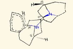 c1ccc(NC2CC3CCC[C@@H](C2)N3[C@@H]2C[C@@H]3CCC[C@@H](C3)C2)cc1